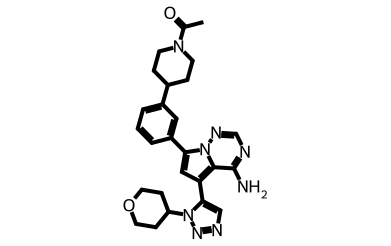 CC(=O)N1CCC(c2cccc(-c3cc(-c4cnnn4C4CCOCC4)c4c(N)ncnn34)c2)CC1